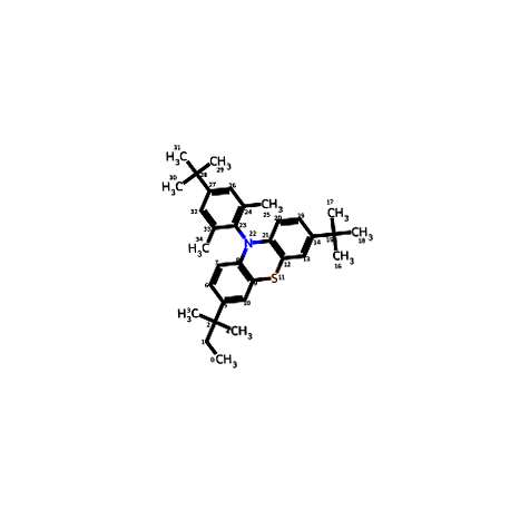 CCC(C)(C)c1ccc2c(c1)Sc1cc(C(C)(C)C)ccc1N2c1c(C)cc(C(C)(C)C)cc1C